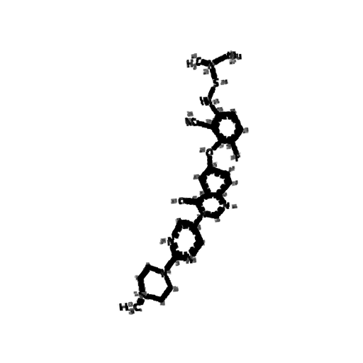 CN1CCN(c2ncc(-n3cnc4ccc(Oc5c(F)ccc(NSN(C)C(C)(C)C)c5C#N)cc4c3=O)cn2)CC1